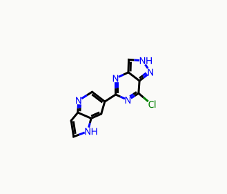 Clc1nc(-c2cnc3cc[nH]c3c2)nc2c[nH]nc12